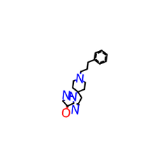 N#CCC1(N2CC(=O)C=N2)CCN(CCCc2ccccc2)CC1